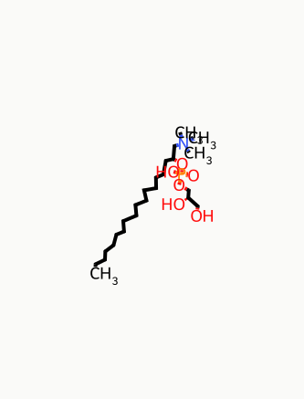 CCCCCCCCCCCCCCCCC(C[N+](C)(C)C)OP(=O)(O)OC[C@H](O)CO